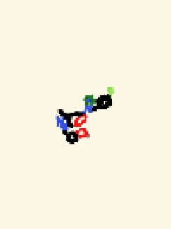 COc1cccc(Cn2nc(C)c(CC(=O)NCc3ccc(F)cc3Cl)c2C)c1